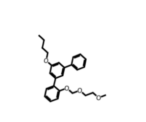 CCCCOc1cc(-c2ccccc2)cc(-c2ccccc2OCOCCOC)c1